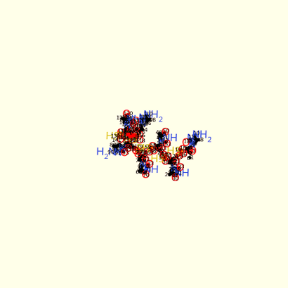 CC[C@H]1O[C@@H](n2cc(C)c(N)nc2=O)C[C@H]1OP(=O)(S)OC[C@H]1O[C@@H](n2cc(C)c(=O)[nH]c2=O)C[C@H]1OP(=O)(S)OC[C@H]1O[C@@H](n2cc(C)c(=O)[nH]c2=O)C[C@H]1OP(=O)(S)OC[C@H]1O[C@@H](n2cc(C)c(=O)[nH]c2=O)C[C@H]1OP(=O)(S)OC[C@H]1O[C@@H](n2cc(C)c(N)nc2=O)C[C@H]1OP(=O)(S)OC[C@H]1O[C@@H](n2cc(C)c(N)nc2=O)C[C@H]1OP(=O)(S)OC[C@H]1O[C@@H](n2cc(C)c(=O)[nH]c2=O)C[C@H]1OP(=O)(S)OC